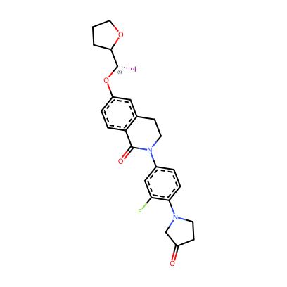 O=C1CCN(c2ccc(N3CCc4cc(O[C@@H](I)C5CCCO5)ccc4C3=O)cc2F)C1